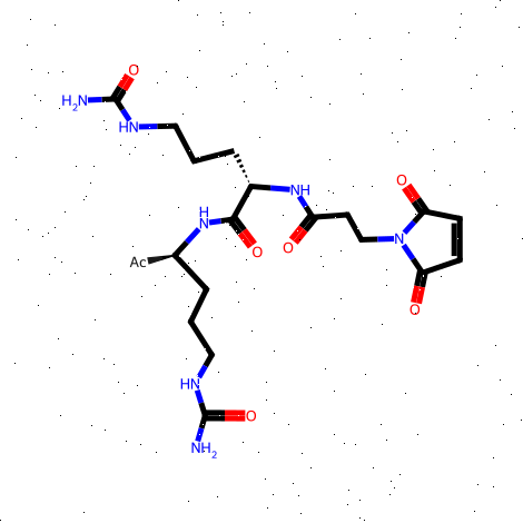 CC(=O)[C@H](CCCNC(N)=O)NC(=O)[C@H](CCCNC(N)=O)NC(=O)CCN1C(=O)C=CC1=O